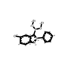 CCOP(OCC)c1c2cc(Cl)ccc2nn1-c1ccccc1